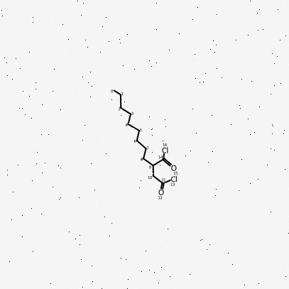 CCCCCCCCCC(CC(=O)Cl)C(=O)Cl